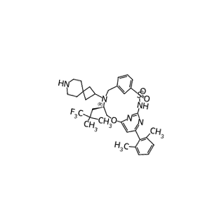 Cc1cccc(C)c1-c1cc2nc(n1)NS(=O)(=O)c1cccc(c1)CN(C1CC3(CCNCC3)C1)[C@H](CC(C)(C)C(F)(F)F)CO2